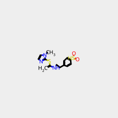 C=C(NCCc1ccc([SH](=O)=O)cc1)Sc1nccn1C